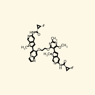 COc1nc(C)nc(OCCOc2cc3nccn3cc2-c2cc3cc(NC(=O)[C@@H]4C[C@@H]4F)ncc3n2C)c1-c1cc2cc(NC(=O)[C@@H]3C[C@@H]3F)ncc2n1C